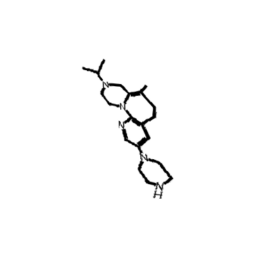 CC1=C2CN(C(C)C)CCN2c2ncc(N3CCNCC3)cc2CC1